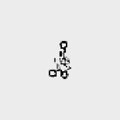 CN1C(=O)C(NC(=O)NCc2ccccc2)N=C(c2ccccc2)c2ccccc21